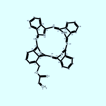 C=CC(=O)OCc1cccc2c3nc4nc(nc5[nH]c(nc6nc(nc([nH]3)c12)-c1ccccc1-6)c1ccccc51)-c1ccccc1-4